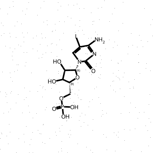 Nc1nc(=O)n([C@@H]2O[C@H](COP(=O)(O)O)C(O)C2O)cc1I